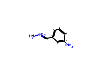 N/N=C/c1cccc(N)c1